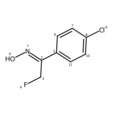 O/N=C(\CF)c1ccc(Cl)cc1